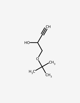 C#CC(O)COC(C)(C)C